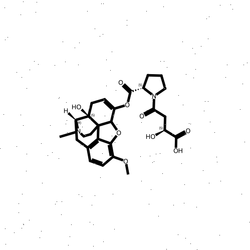 COc1ccc2c3c1OC1C(OC(=O)[C@@H]4CCCN4C(=O)C[C@H](O)C(=O)O)=CC[C@@]4(O)[C@@H](C2)N(C)CCC314